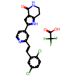 O=C(O)C(F)(F)F.O=C1NCCc2[nH]c(-c3ccnc(C=Cc4cc(Cl)ccc4Cl)c3)cc21